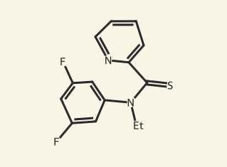 CCN(C(=S)c1ccccn1)c1cc(F)cc(F)c1